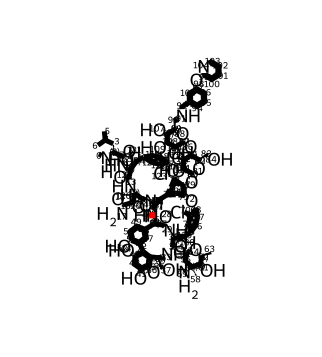 CN[C@H](CC(C)C)C(=O)NC1C(=O)N[C@@H](CC(N)=O)C(=O)N[C@H]2C(=O)N[C@H]3C(=O)N[C@H](C(=O)N[C@@H](C(=O)O)c4cc(O)cc(O)c4-c4cc3ccc4O)[C@H](OC3C[C@](C)(N)[C@@H](O)[C@H](C)O3)c3ccc(c(Cl)c3)Oc3cc2cc(c3O[C@@H]2O[C@H](CO)[C@@H](O[C@@H]3O[C@H](CNCc4cccc(Oc5ccccn5)c4)[C@H](O)[C@H](O)[C@H]3O)[C@H](O)[C@H]2O)Oc2ccc(cc2Cl)[C@H]1O